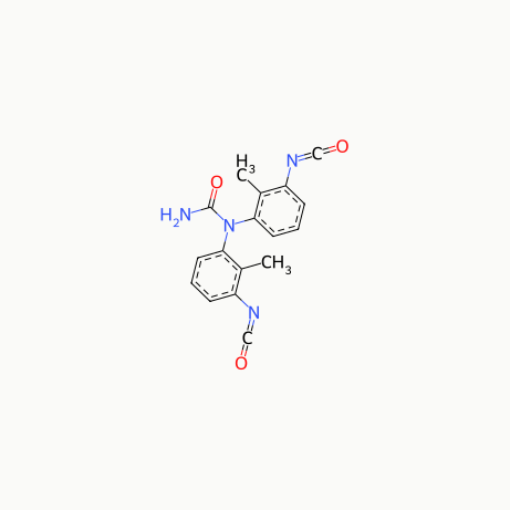 Cc1c(N=C=O)cccc1N(C(N)=O)c1cccc(N=C=O)c1C